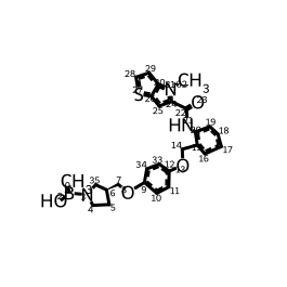 CB(O)N1CC[C@H](COc2ccc(OCc3ccccc3NC(=O)c3cc4sccc4n3C)cc2)C1